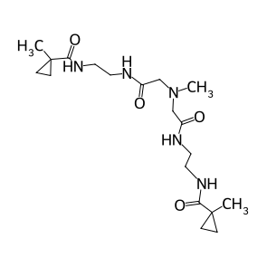 CN(CC(=O)NCCNC(=O)C1(C)CC1)CC(=O)NCCNC(=O)C1(C)CC1